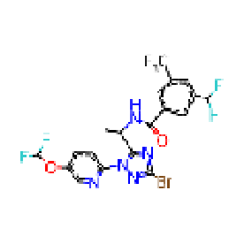 CC(NC(=O)c1cc(C(F)F)cc(C(F)(F)F)c1)c1nc(Br)nn1-c1ccc(OC(F)F)cn1